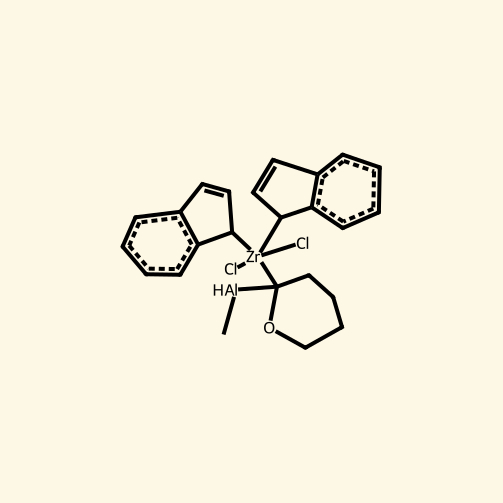 [CH3][AlH][C]1([Zr]([Cl])([Cl])([CH]2C=Cc3ccccc32)[CH]2C=Cc3ccccc32)CCCCO1